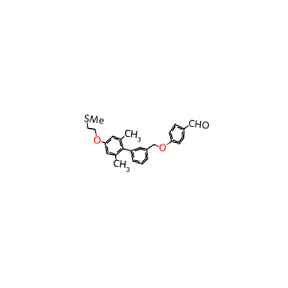 CSCCOc1cc(C)c(-c2cccc(COc3ccc(C=O)cc3)c2)c(C)c1